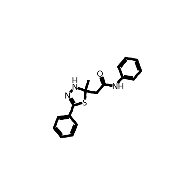 CC1(CC(=O)Nc2ccccc2)NN=C(c2ccccc2)S1